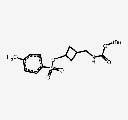 Cc1ccc(S(=O)(=O)OC2CC(CNC(=O)OC(C)(C)C)C2)cc1